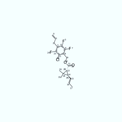 C=CCc1c(F)c(F)c(COC(=O)[C@@H]2[C@@H](C=CC)C2(C)C)c(Cl)c1F